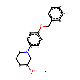 OC1CCCN(c2ccc(OCc3ccccc3)cc2)C1